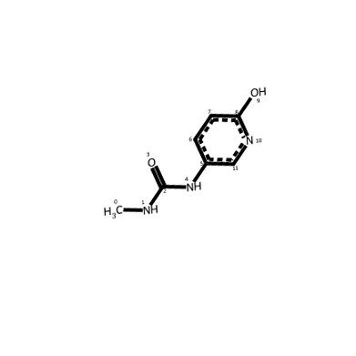 CNC(=O)Nc1ccc(O)nc1